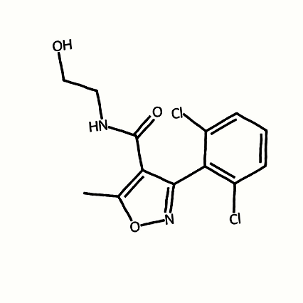 Cc1onc(-c2c(Cl)cccc2Cl)c1C(=O)NCCO